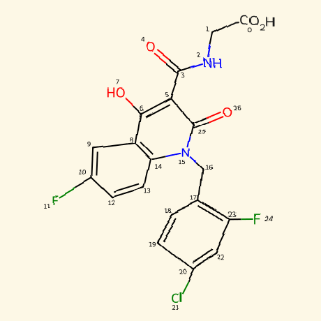 O=C(O)CNC(=O)c1c(O)c2cc(F)ccc2n(Cc2ccc(Cl)cc2F)c1=O